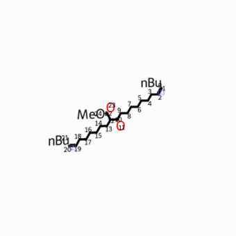 CCCC/C=C\CCCCCCCC(=O)C(CCCCCC/C=C\CCCC)C(=O)OC